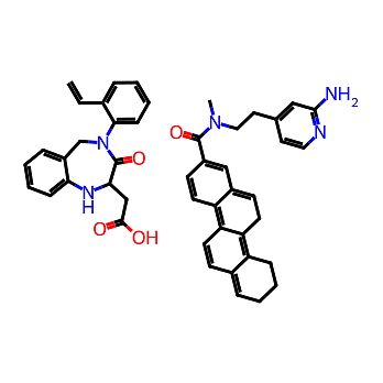 C=Cc1ccccc1N1Cc2ccccc2NC(CC(=O)O)C1=O.CN(CCc1ccnc(N)c1)C(=O)c1ccc2c(c1)=CCc1c3c(ccc1=2)=CCCC3